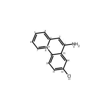 Nc1cc2cccc[n+]2c2ccc(Cl)cc12